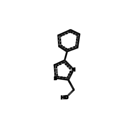 OCc1nc(-c2ccccc2)cs1